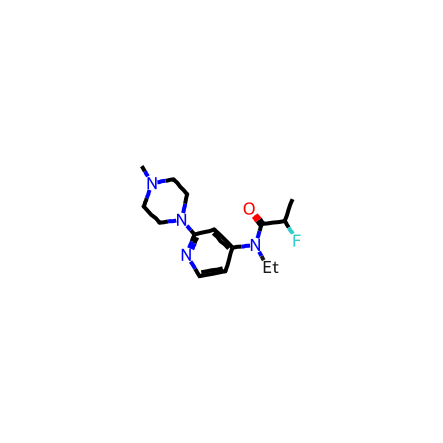 CCN(C(=O)C(C)F)c1ccnc(N2CCN(C)CC2)c1